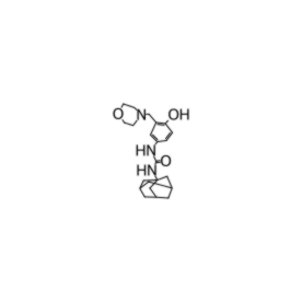 O=C(Nc1ccc(O)c(CN2CCOCC2)c1)NC12CC3CC(CC(C3)C1)C2